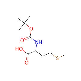 CSCCC(NC(=O)OC(C)(C)C)C(=O)O